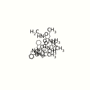 C=CCNC(=O)C(=O)C(CCCC)NC(=O)[C@@H]1[C@@H]2[C@H](CN1C(=O)[C@@H](NC(=O)N[C@H](CN1Cc3ccccc3S1(=O)=O)C1CCCCC1)C(C)(C)C)C2(C)C